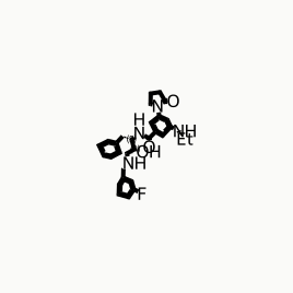 CCNc1cc(C(=O)N[C@@H](Cc2ccccc2)[C@H](O)CNCc2cccc(F)c2)cc(N2CCCC2=O)c1